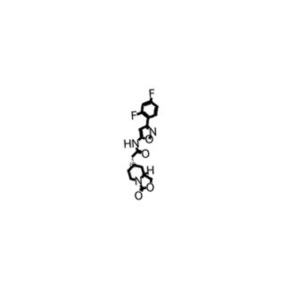 O=C(C[C@H]1CCN2C(=O)OC[C@H]2C1)Nc1cc(-c2ccc(F)cc2F)no1